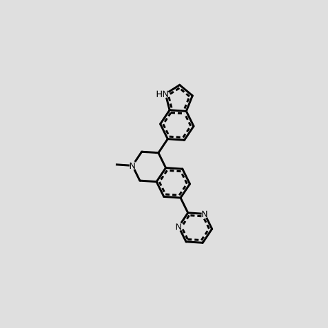 CN1Cc2cc(-c3ncccn3)ccc2C(c2ccc3cc[nH]c3c2)C1